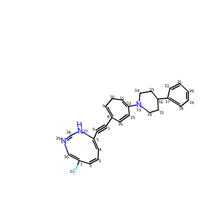 Fc1cccc(C#CC2=CCC=C(N3CCC(c4ccccc4)CC3)C=C2)[nH]cnc1